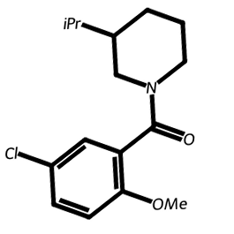 COc1ccc(Cl)cc1C(=O)N1CCCC(C(C)C)C1